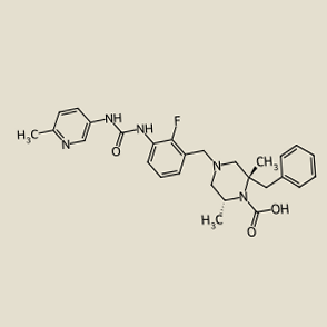 Cc1ccc(NC(=O)Nc2cccc(CN3C[C@@H](C)N(C(=O)O)[C@@](C)(Cc4ccccc4)C3)c2F)cn1